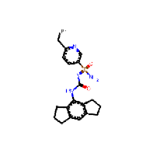 CC(C)Cc1ccc(S(N)(=O)=NC(=O)Nc2c3c(cc4c2CCC4)CCC3)cn1